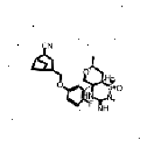 C[C@H]1C[C@@H]2[C@](c3cc(OCC4CC(C#N)C5CC4C5)ccc3F)(CO1)NC(=N)N(C)S2(=O)=O